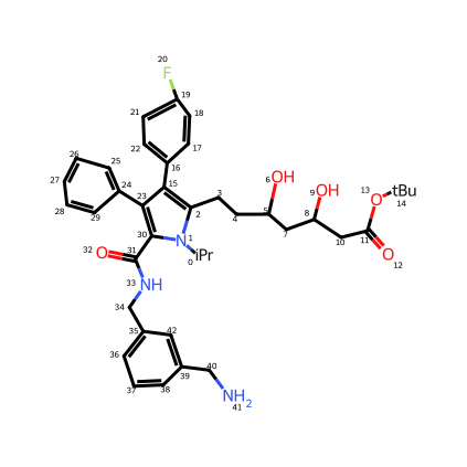 CC(C)n1c(CCC(O)CC(O)CC(=O)OC(C)(C)C)c(-c2ccc(F)cc2)c(-c2ccccc2)c1C(=O)NCc1cccc(CN)c1